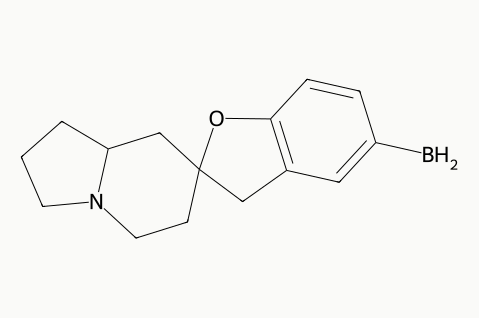 Bc1ccc2c(c1)CC1(CCN3CCCC3C1)O2